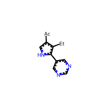 CCc1c(C(C)=O)c[nH]c1-c1cncnc1